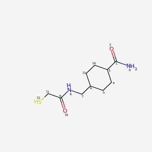 NC(=O)C1CCC(CNC(=O)CS)CC1